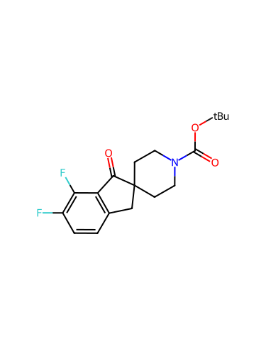 CC(C)(C)OC(=O)N1CCC2(CC1)Cc1ccc(F)c(F)c1C2=O